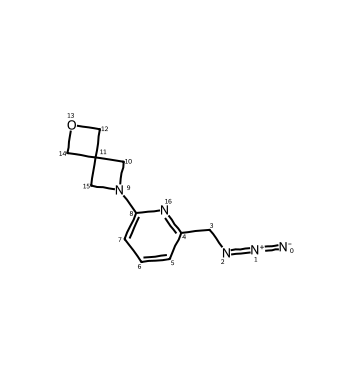 [N-]=[N+]=NCc1cccc(N2CC3(COC3)C2)n1